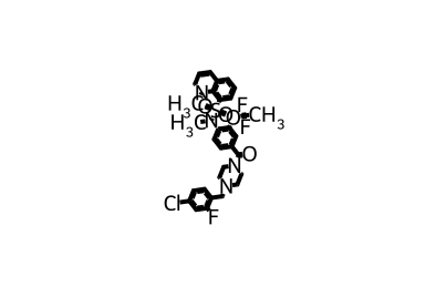 CN1CC=Cc2cccc(S(=O)(=O)N(C)c3ccc(C(=O)N4CCN(Cc5ccc(Cl)cc5F)CC4)cc3OC(C)(F)F)c21